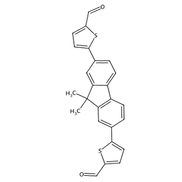 CC1(C)c2cc(-c3ccc(C=O)s3)ccc2-c2ccc(-c3ccc(C=O)s3)cc21